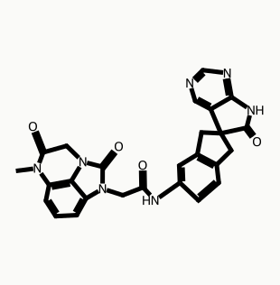 CN1C(=O)Cn2c(=O)n(CC(=O)Nc3ccc4c(c3)CC3(C4)C(=O)Nc4ncncc43)c3cccc1c32